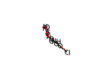 CC1=N/C(=C\c2cc3ccc(N(C)CCOC(=O)NCCOCCOCCCCCCCl)cc3s2)C(=O)N1C